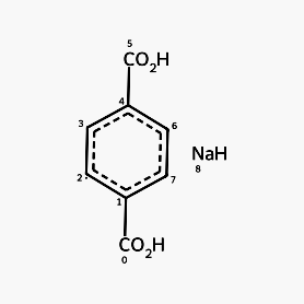 O=C(O)c1[c]cc(C(=O)O)cc1.[NaH]